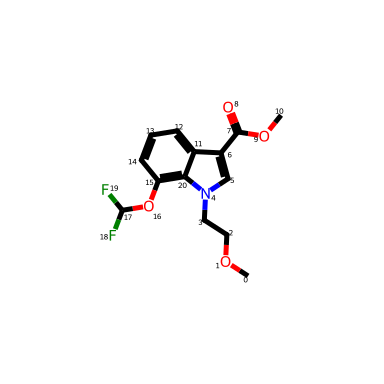 COCCn1cc(C(=O)OC)c2cccc(OC(F)F)c21